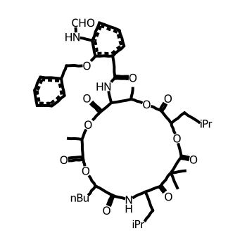 CCCCC1OC(=O)C(C)OC(=O)C(NC(=O)c2cccc(NC=O)c2OCc2ccccc2)C(C)OC(=O)C(CC(C)C)OC(=O)C(C)(C)C(=O)C(CC(C)C)NC1=O